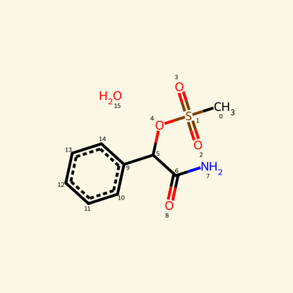 CS(=O)(=O)OC(C(N)=O)c1ccccc1.O